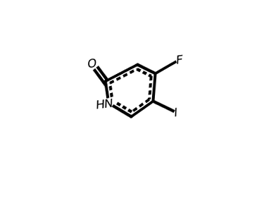 O=c1cc(F)c(I)c[nH]1